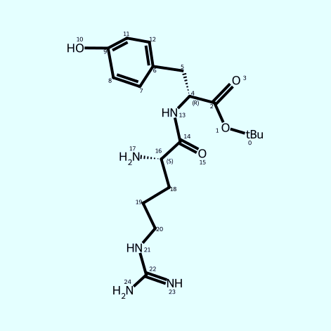 CC(C)(C)OC(=O)[C@@H](Cc1ccc(O)cc1)NC(=O)[C@@H](N)CCCNC(=N)N